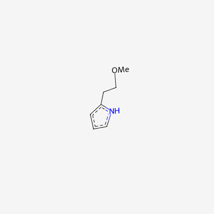 COCCc1ccc[nH]1